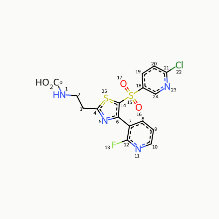 O=C(O)NCCc1nc(-c2cccnc2F)c(S(=O)(=O)c2ccc(Cl)nc2)s1